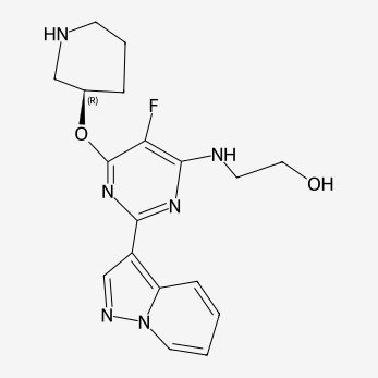 OCCNc1nc(-c2cnn3ccccc23)nc(O[C@@H]2CCCNC2)c1F